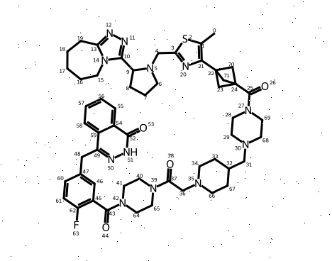 Cc1sc(CN2CCCC2c2nnc3n2CCCCC3)nc1C12CC(C(=O)N3CCN(CC4CCN(CC(=O)N5CCN(C(=O)c6cc(Cc7n[nH]c(=O)c8ccccc78)ccc6F)CC5)CC4)CC3)(C1)C2